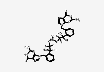 Nc1nc2c(ncn2Cc2ccccc2C(O)(O)C(F)(F)O[PH](=O)OC(F)(F)C(O)(O)c2ccccc2Cn2cnc3c(=O)[nH]c(N)nc32)c(=O)[nH]1